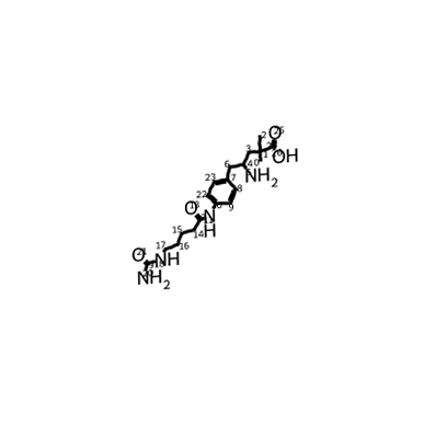 CC(C)(CC(N)Cc1ccc(NC(=O)CCCCNC(N)=O)cc1)C(=O)O